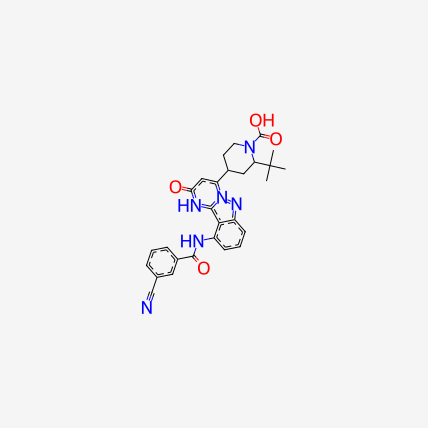 CC(C)(C)C1CC(c2cc(=O)[nH]c3c4c(NC(=O)c5cccc(C#N)c5)cccc4nn23)CCN1C(=O)O